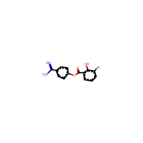 CC(=O)c1cccc(C(=O)Oc2ccc(C(=N)N)cc2)c1O